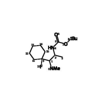 CNC(C(C)NC(=O)OC(C)(C)C)C1(F)CCCCC1